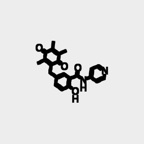 CC1=C(C)C(=O)C(Cc2ccc(O)c(C(=O)Nc3ccncc3)c2)=C(C)C1=O